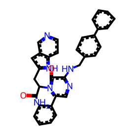 NC(=O)C(Cc1cc2cnccc2[nH]1)n1c(-c2ccccc2)cnc(NCc2ccc(-c3ccccc3)cc2)c1=O